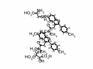 Cc1ccc(-c2nc3ccc(C)cn3c2CC(=O)N(C)C)cc1.Cc1ccc(-c2nc3ccc(C)cn3c2CC(=O)N(C)C)cc1.NC(CS)C(=O)O.O=C(O)C(O)C(O)C(=O)O